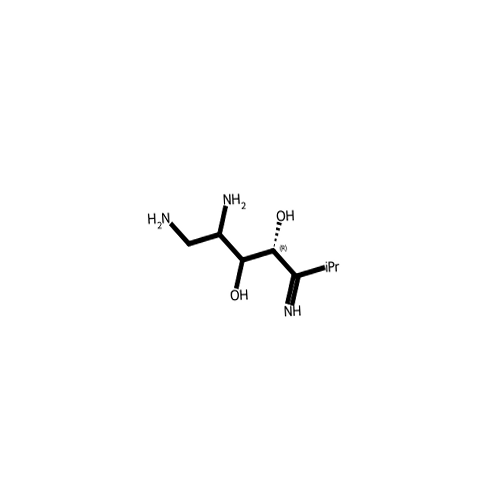 CC(C)C(=N)[C@@H](O)C(O)C(N)CN